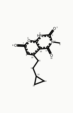 Cn1c(=O)[nH]c2oc(=O)cc(CCC3CC3)c2c1=O